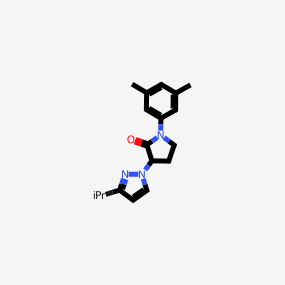 Cc1cc(C)cc(N2CCC(n3ccc(C(C)C)n3)C2=O)c1